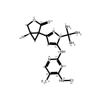 BC(B)(B)n1nc(C23C[C@@H]2COC3=O)cc1Nc1ncc(C(F)(F)F)c(NCC)n1